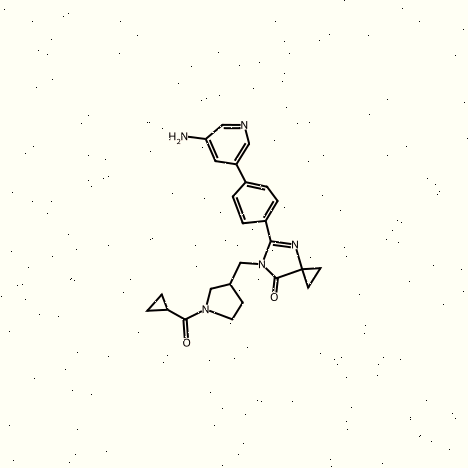 Nc1cncc(-c2ccc(C3=NC4(CC4)C(=O)N3CC3CCN(C(=O)C4CC4)C3)cc2)c1